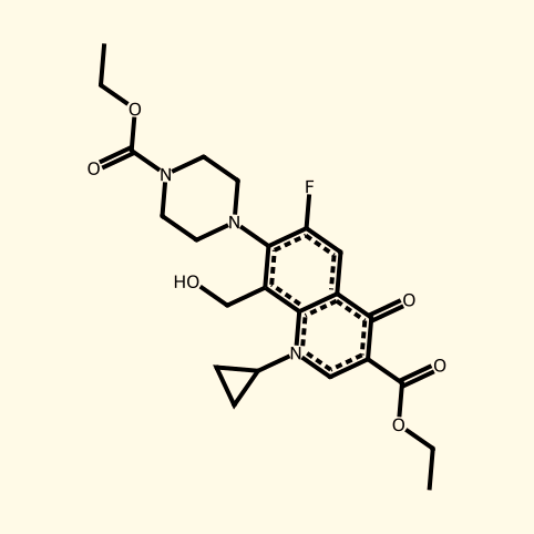 CCOC(=O)c1cn(C2CC2)c2c(CO)c(N3CCN(C(=O)OCC)CC3)c(F)cc2c1=O